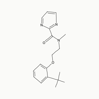 CN(CCOc1ccccc1C(C)(C)C)C(=O)c1ncccn1